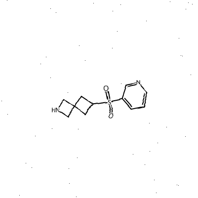 O=S(=O)(c1cccnc1)C1CC2(CNC2)C1